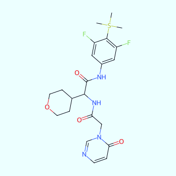 CS(C)(C)c1c(F)cc(NC(=O)C(NC(=O)Cn2cnccc2=O)C2CCOCC2)cc1F